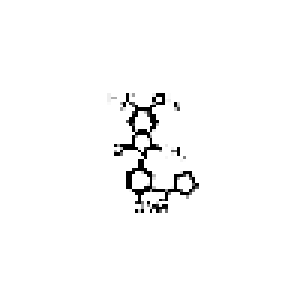 C=C1c2cc(C)c(C)cc2C(=O)N1c1ccc(OC)c(OC2CCCC2)c1